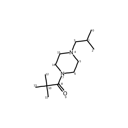 CC(C)CN1CCN(C(=O)C(C)(C)C)CC1